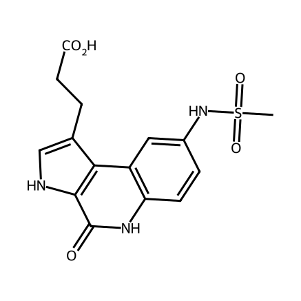 CS(=O)(=O)Nc1ccc2[nH]c(=O)c3[nH]cc(CCC(=O)O)c3c2c1